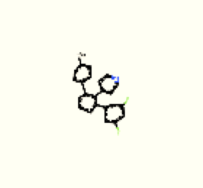 CC(C)(C)c1ccc(-c2cccc(-c3cc(F)cc(F)c3)c2-c2ccncc2)cc1